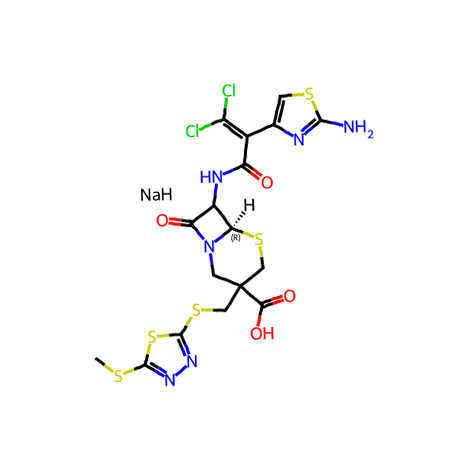 CSc1nnc(SCC2(C(=O)O)CS[C@@H]3C(NC(=O)C(=C(Cl)Cl)c4csc(N)n4)C(=O)N3C2)s1.[NaH]